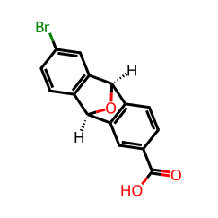 O=C(O)c1ccc2c(c1)[C@@H]1O[C@H]2c2cc(Br)ccc21